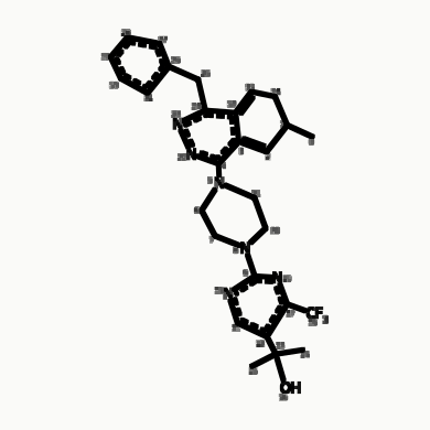 CC1C=c2c(N3CCN(c4ncc(C(C)(C)O)c(C(F)(F)F)n4)CC3)nnc(Cc3ccccc3)c2=CC1